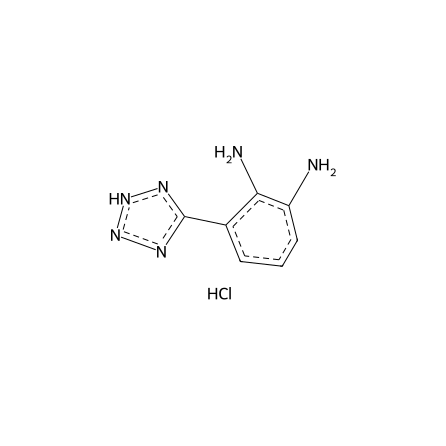 Cl.Nc1cccc(-c2nn[nH]n2)c1N